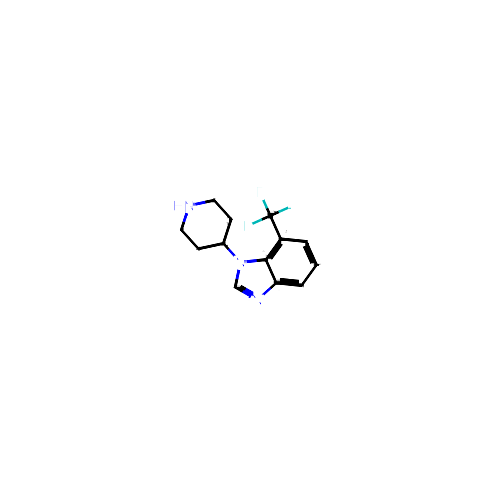 FC(F)(F)c1cccc2ncn(C3CCNCC3)c12